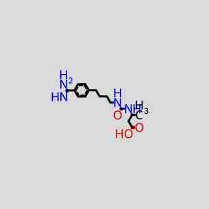 CC(CC(=O)O)NC(=O)NCCCCc1ccc(C(=N)N)cc1